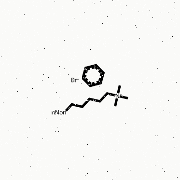 CCCCCCCCCCCCCC[N+](C)(C)C.[Br-].c1ccccc1